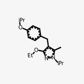 CCOc1nn(C(C)C)c(C)c1Cc1ccc(OC(C)C)cc1